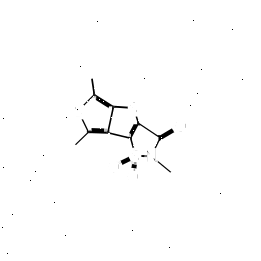 Cc1sc(C)c2c3c(sc12)C(=O)N(C)S3(=O)=O